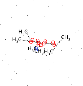 CCCCCCCCC(CCCCCC)COC(=O)CCCCCC(=O)OCC(COC(=O)CCCC(=O)OC(CCCCCCCC)CCCCCCCC)OC(=O)CCCN(C)C